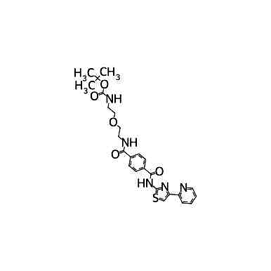 CC(C)(C)OC(=O)NCCOCCNC(=O)c1ccc(C(=O)Nc2nc(-c3ccccn3)cs2)cc1